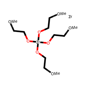 COCC[O][Zr]([O]CCOC)([O]CCOC)[O]CCOC.[Zr]